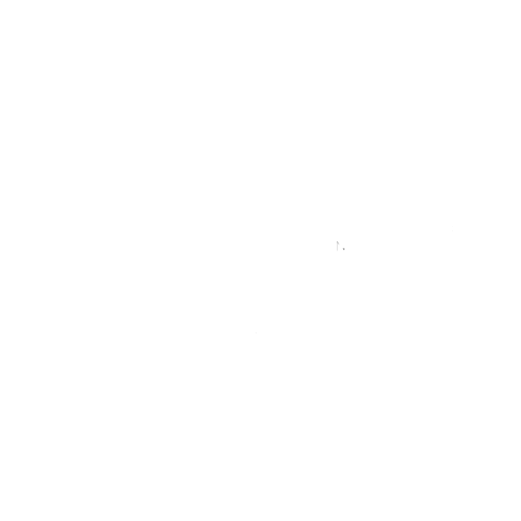 Cc1cccc(-c2cccc3c2oc2cc(-[n+]4ccc5c(oc6ccccc65)c4C)ccc23)c1